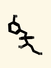 CN(CCO)S(=O)(=O)Cc1cccc(N=O)c1